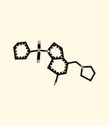 O=S(=O)(c1ccccc1)n1ccc2c(CN3CCCC3)cc(F)cc21